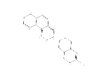 IC1=CC2CCC([C@H]3C=C4C=CC5CCC=CC5C4=CC3)CC2CC1